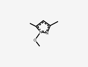 COn1nc(C)cc1C